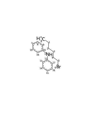 CCCCCCBr.c1ccc(Nc2ccccc2)cc1